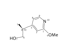 COc1cc([C@H](C)CO)ccn1